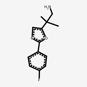 CC(C)(CN)c1cnc(-c2ccc(F)cc2)o1